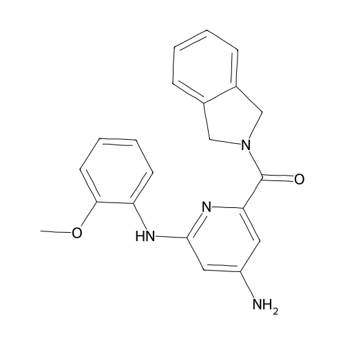 COc1ccccc1Nc1cc(N)cc(C(=O)N2Cc3ccccc3C2)n1